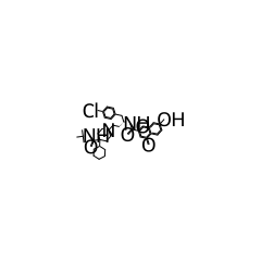 CC(C)(C)NC(=O)C1(C2CCCCC2)CCN(CC[C@H](Cc2ccc(Cl)cc2)NC(=O)c2cc(=O)c3ccc(O)cc3o2)CC1